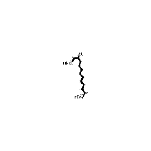 [CH2]CC(CCCCCCCCCCC)CCCCCCCCCCCCCCCCCCC